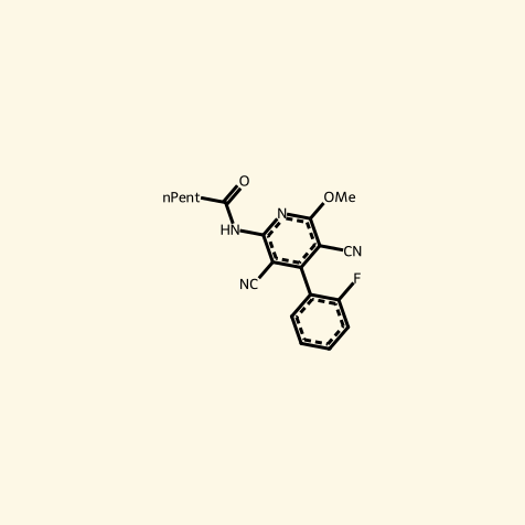 CCCCCC(=O)Nc1nc(OC)c(C#N)c(-c2ccccc2F)c1C#N